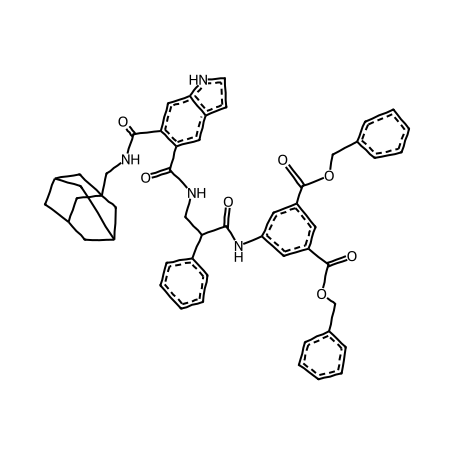 O=C(OCc1ccccc1)c1cc(NC(=O)C(CNC(=O)c2cc3cc[nH]c3cc2C(=O)NCC23CC4CC(CC(C4)C2)C3)c2ccccc2)cc(C(=O)OCc2ccccc2)c1